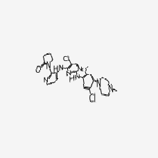 COc1cc(N2CCN(C)CC2)c(Cl)cc1Nc1ncc(Cl)c(Nc2cccnc2N2CCCC2=O)n1